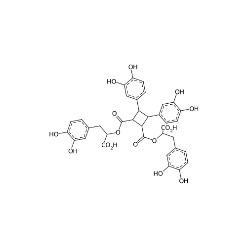 O=C(O)C(Cc1ccc(O)c(O)c1)OC(=O)C1C(C(=O)OC(Cc2ccc(O)c(O)c2)C(=O)O)C(c2ccc(O)c(O)c2)C1c1ccc(O)c(O)c1